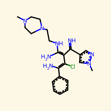 CN1CCN(CCN/C(N)=C(C(=N)c2cnn(C)c2)/C(Cl)=C(\N)c2ccccc2)CC1